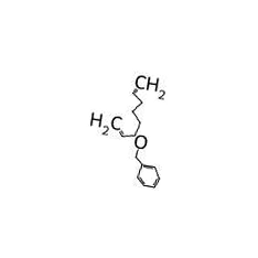 C=CCCCC(C=C)OCc1ccccc1